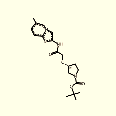 CC(C)(C)OC(=O)N1CC[C@@H](OCC(=O)Nc2cn3cc(I)ccc3n2)C1